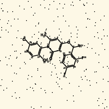 [2H]C(Oc1cc(C)n(-c2cc(Cl)ncc2C)c(=O)c1)c1ncc(F)cc1F